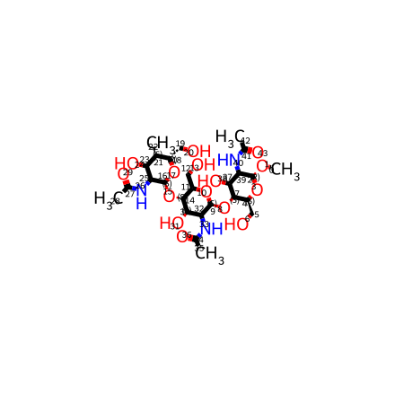 CO[C@@H]1O[C@@H](CO)[C@@H](O[C@@H]2OC(CO)[C@@H](O[C@@H]3O[C@@H](CO)[C@@H](C)C(O)C3NC(C)=O)[C@H](O)C2NC(C)=O)C(O)C1NC(C)=O